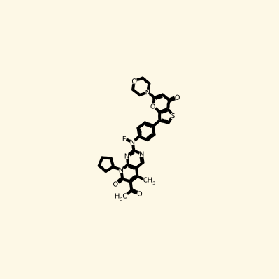 CC(=O)c1c(C)c2cnc(N(F)c3ccc(-c4csc5c(=O)cc(N6CCOCC6)oc45)cc3)nc2n(C2CCCC2)c1=O